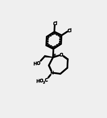 O=C(O)N1CCCO[C@@](CO)(c2ccc(Cl)c(Cl)c2)C1